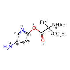 CCOC(=O)C(CC)(NC(C)=O)C(=O)Oc1ccc(N)cn1